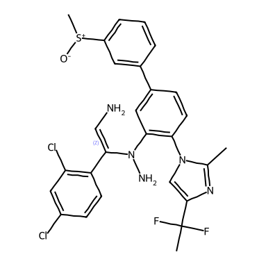 Cc1nc(C(C)(F)F)cn1-c1ccc(-c2cccc([S+](C)[O-])c2)cc1N(N)/C(=C\N)c1ccc(Cl)cc1Cl